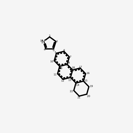 C1=CCN=C1.c1ccc2c(c1)ccc1c3c(ccc12)CCCC3